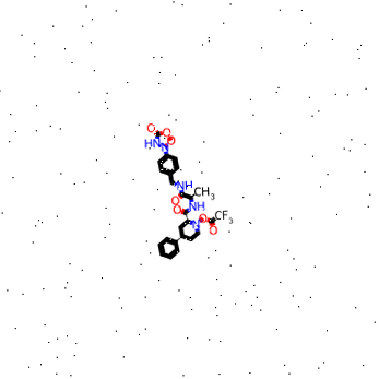 C[C@H](NC(=O)[C@H]1C[C@@H](c2ccccc2)CCN1OC(=O)C(F)(F)F)C(=O)NCc1ccc(N2NC(=O)OO2)cc1